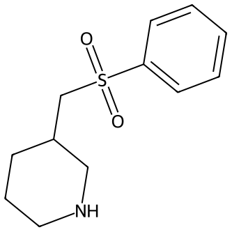 O=S(=O)(CC1CCCNC1)c1ccccc1